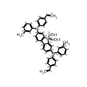 C=Cc1ccc(N(c2cccc(C)c2)c2ccc3c(c2)[Si](CCCCCCCC)(CCCCCCCC)c2cc(N(c4ccc(C=C)cc4)c4cccc(C)c4)ccc2-3)cc1